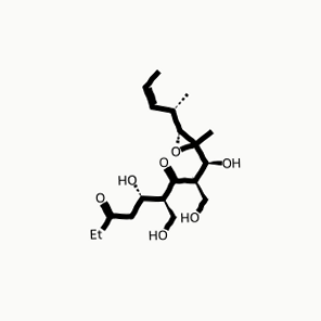 C/C=C\[C@H](C)[C@H]1OC1(C)[C@@H](O)[C@@H](CO)C(=O)[C@@H](CO)[C@@H](O)CC(=O)CC